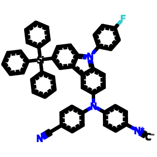 [C-]#[N+]c1ccc(N(c2ccc(C#N)cc2)c2ccc3c(c2)c2cc([Si](c4ccccc4)(c4ccccc4)c4ccccc4)ccc2n3-c2ccc(F)cc2)cc1